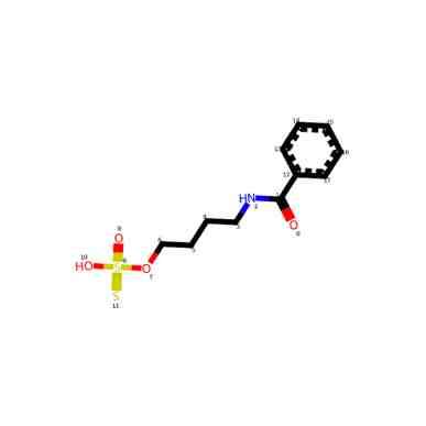 O=C(NCCCCOS(=O)(O)=S)c1ccccc1